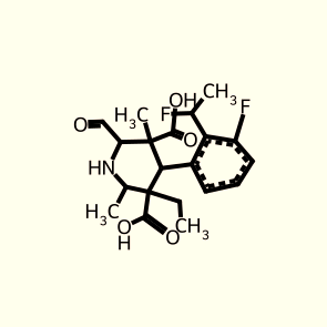 CCC1(C(=O)O)C(C)NC(C=O)C(C)(C(=O)O)C1c1cccc(F)c1C(C)F